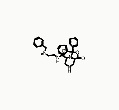 CN(CCNC(=O)C1CNCC2C(=O)OC(c3ccccc3)(c3ccccc3)N12)Cc1ccccc1